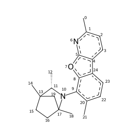 Cc1ccc2c(n1)oc1c(N3[C@@H](C)C4(C)CCC3(C)C4)c(C)ccc12